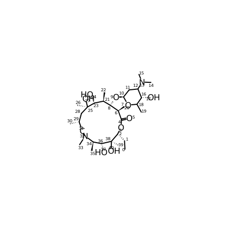 CC[C@H]1OC(=O)[C@H](C)[C@@H](O[C@H]2CC(N(C)C)[C@H](O)C(C)O2)[C@H](C)[C@@H](O)[C@](C)(O)C[C@@H](C)CN(C)[C@H](C)[C@@H](O)[C@]1(C)O